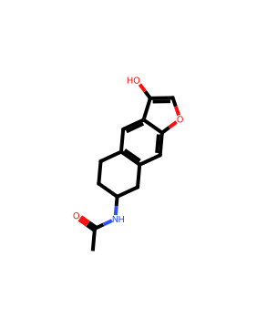 CC(=O)NC1CCc2cc3c(O)coc3cc2C1